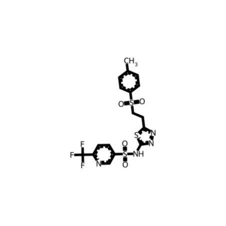 Cc1ccc(S(=O)(=O)CCc2nnc(NS(=O)(=O)c3ccc(C(F)(F)F)nc3)s2)cc1